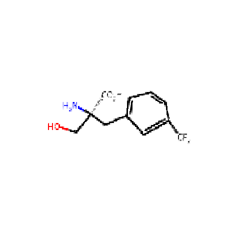 N[C@](CO)(Cc1cccc(C(F)(F)F)c1)C(=O)O